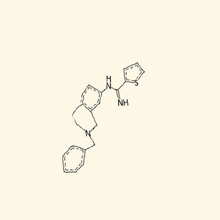 N=C(Nc1ccc2c(c1)CN(Cc1ccccc1)CC2)c1cccs1